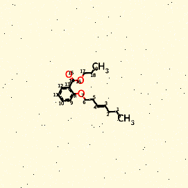 CCCC=CCCOc1ccccc1C(=O)OCCC